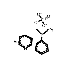 CCCP(C)c1ccccc1.[Au+].[O-][Cl+3]([O-])([O-])[O-].c1ccncc1